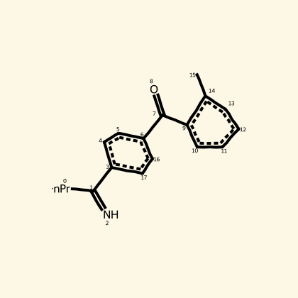 CC[CH]C(=N)c1ccc(C(=O)c2ccccc2C)cc1